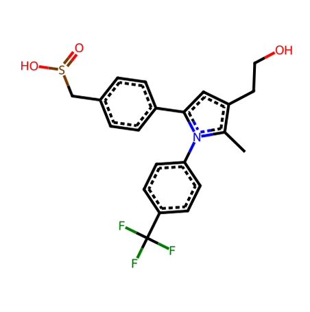 Cc1c(CCO)cc(-c2ccc(CS(=O)O)cc2)n1-c1ccc(C(F)(F)F)cc1